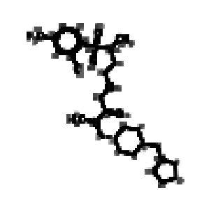 CN(C[C@H]1CC[C@H](CN2CCCC2)CC1)C(=O)COCCN(C)S(=O)(=O)c1ccc(C(F)(F)F)cc1Cl